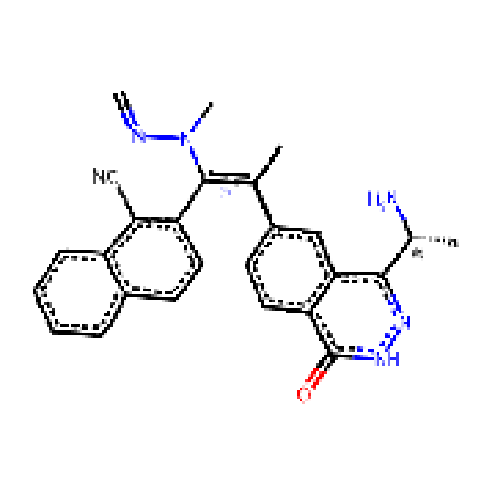 C=NN(C)/C(=C(\C)c1ccc2c(=O)[nH]nc([C@@H](C)N)c2c1)c1ccc2ccccc2c1C#N